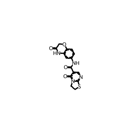 O=C1COc2ccc(NC(=O)c3cnc4n(c3=O)CCS4)cc2N1